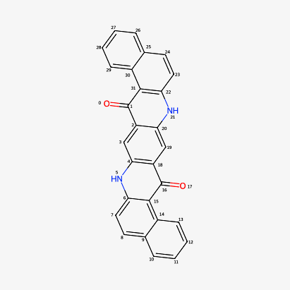 O=c1c2cc3[nH]c4ccc5ccccc5c4c(=O)c3cc2[nH]c2ccc3ccccc3c12